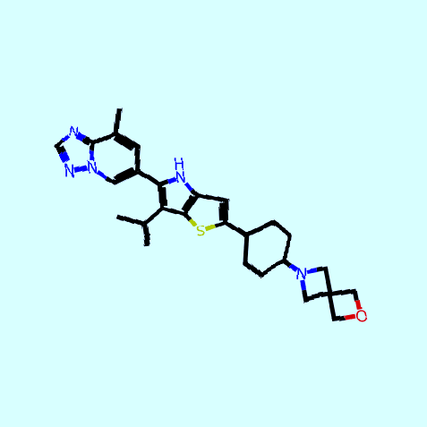 Cc1cc(-c2[nH]c3cc(C4CCC(N5CC6(COC6)C5)CC4)sc3c2C(C)C)cn2ncnc12